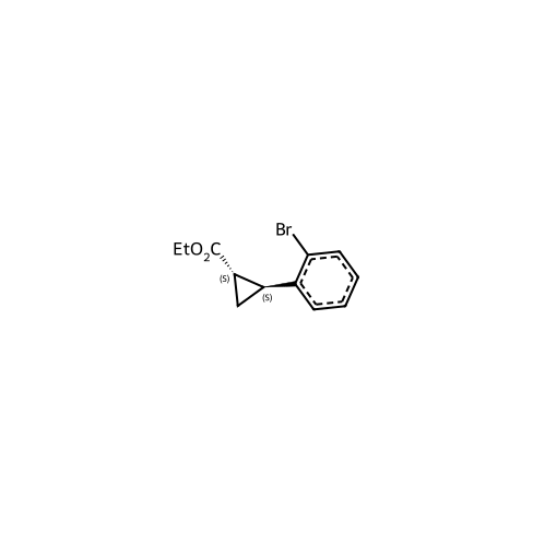 CCOC(=O)[C@H]1C[C@@H]1c1ccccc1Br